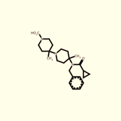 CC1(N2CCC(C)(N(Cc3ccccc3)C(=O)C3CC3)CC2)CCN(C(=O)O)CC1